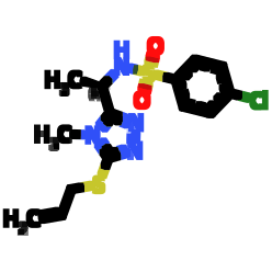 C=CCSc1nnc([C@@H](C)NS(=O)(=O)c2ccc(Cl)cc2)n1C